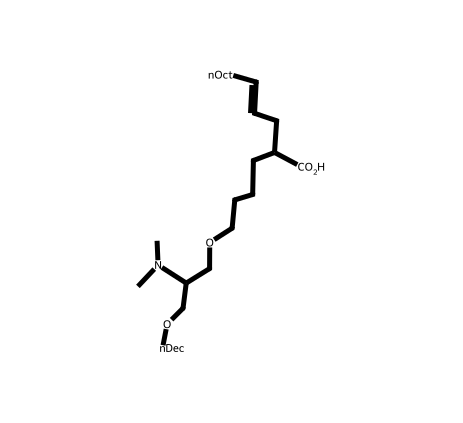 CCCCCCCCC=CCC(CCCCOCC(COCCCCCCCCCC)N(C)C)C(=O)O